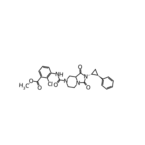 COC(=O)c1cccc(NC(=O)N2CCN3C(=O)N([C@@H]4C[C@H]4c4ccccc4)C(=O)C3C2)c1Cl